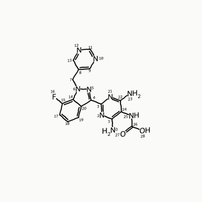 Nc1nc(-c2nn(Cc3cncnc3)c3c(F)cccc23)nc(N)c1NC(=O)O